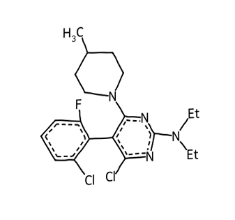 CCN(CC)c1nc(Cl)c(-c2c(F)cccc2Cl)c(N2CCC(C)CC2)n1